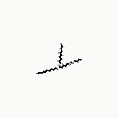 CCCCCCCCCCOC(CCC=COCOCCCC)OCCCCCCCCCC